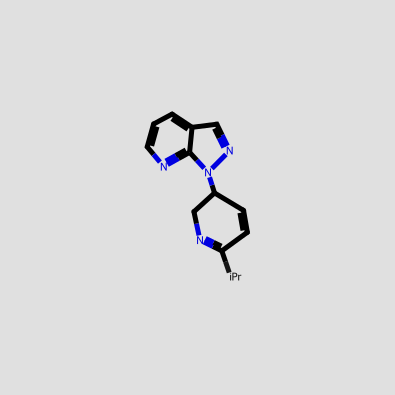 CC(C)C1=NCC(n2ncc3cccnc32)C=C1